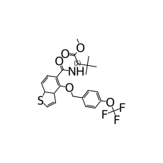 COC(=O)[C@@H](NC(=O)C1=C(OCc2ccc(OC(F)(F)F)cc2)C2C=CSC2C=C1)C(C)(C)C